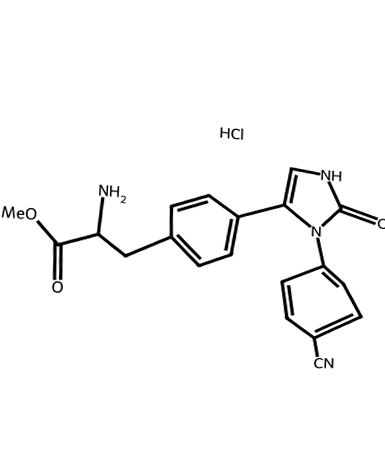 COC(=O)C(N)Cc1ccc(-c2c[nH]c(=O)n2-c2ccc(C#N)cc2)cc1.Cl